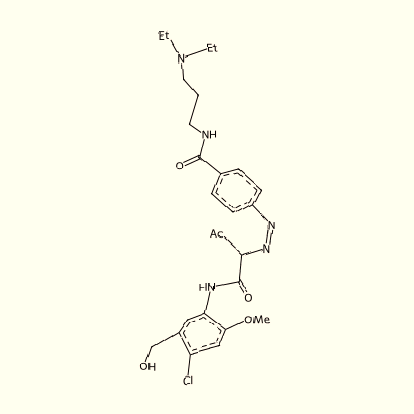 CCN(CC)CCCNC(=O)c1ccc(/N=N\C(C(C)=O)C(=O)Nc2cc(CO)c(Cl)cc2OC)cc1